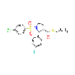 CCSC(=O)C1=CCN(S(=O)(=O)c2ccc(Cl)cc2)C1c1ccc(F)cc1